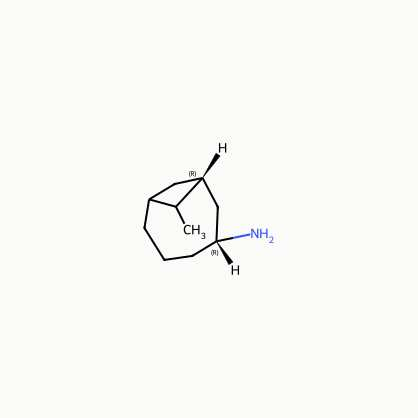 CC1C2CCC[C@@H](N)C[C@H]1C2